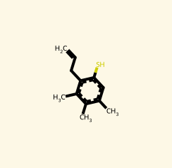 C=CCc1c(S)cc(C)c(C)c1C